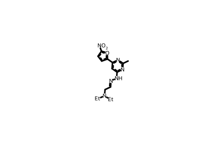 CCN(CC)CC=NNc1cc(-c2ccc([N+](=O)[O-])o2)nc(C)n1